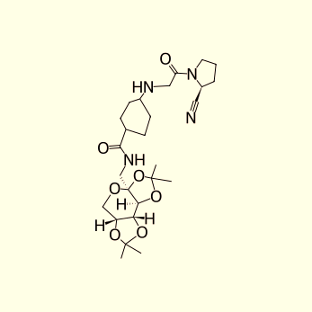 CC1(C)O[C@@H]2[C@@H](CO[C@@]3(CNC(=O)C4CCC(NCC(=O)N5CCC[C@H]5C#N)CC4)OC(C)(C)O[C@@H]23)O1